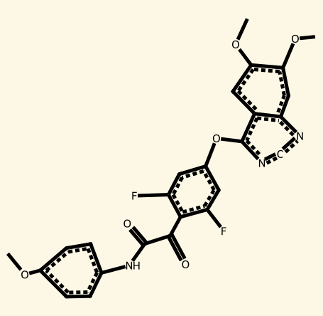 COc1ccc(NC(=O)C(=O)c2c(F)cc(Oc3ncnc4cc(OC)c(OC)cc34)cc2F)cc1